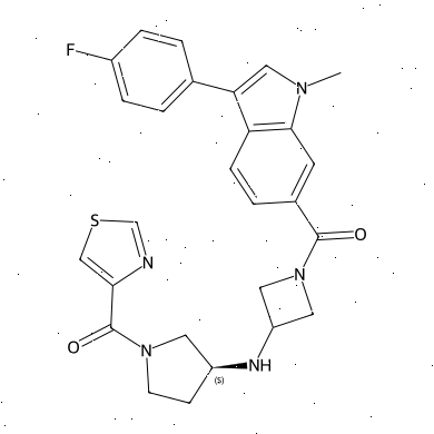 Cn1cc(-c2ccc(F)cc2)c2ccc(C(=O)N3CC(N[C@H]4CCN(C(=O)c5cscn5)C4)C3)cc21